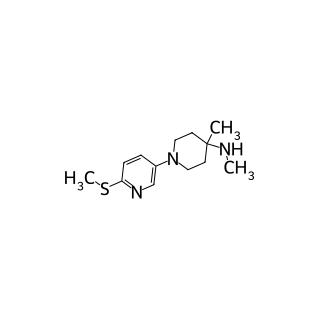 CNC1(C)CCN(c2ccc(SC)nc2)CC1